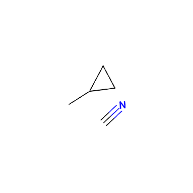 C#N.CC1CC1